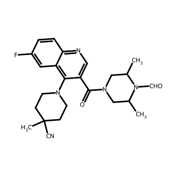 CC1CN(C(=O)c2cnc3ccc(F)cc3c2N2CCC(C)(C#N)CC2)CC(C)N1C=O